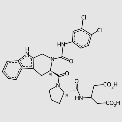 O=C(O)CC(CC(=O)O)NC(=O)[C@@H]1CCCN1C(=O)[C@H]1Cc2c([nH]c3ccccc23)CN1C(=O)Nc1ccc(Cl)c(Cl)c1